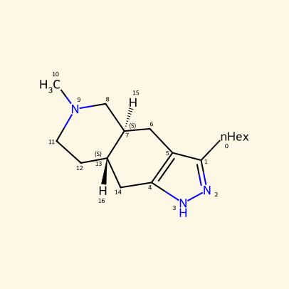 CCCCCCc1n[nH]c2c1C[C@@H]1CN(C)CC[C@H]1C2